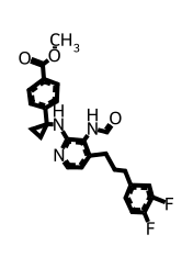 COC(=O)c1ccc(C2(Nc3nccc(CCCc4ccc(F)c(F)c4)c3NC=O)CC2)cc1